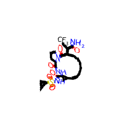 NC(=O)C(CC(F)(F)F)C1CCCCC/C=C\C2CC2(C(=O)NS(=O)(=O)C2CC2)NC(=O)C2CCCN2C1=O